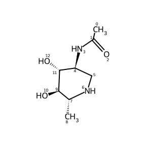 CC(=O)N[C@H]1CN[C@H](C)[C@@H](O)[C@@H]1O